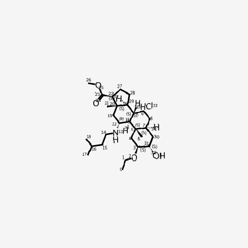 CCO[C@H]1C[C@@]2(C)[C@@H](CC[C@@H]3[C@@H]2[C@H](NCCC(C)C)C[C@]2(C)[C@@H](C(=O)OC)CC[C@@H]32)C[C@@H]1O.Cl